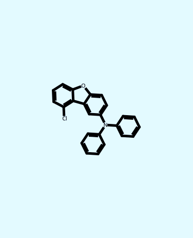 Clc1cccc2oc3ccc(N(c4ccccc4)c4ccccc4)cc3c12